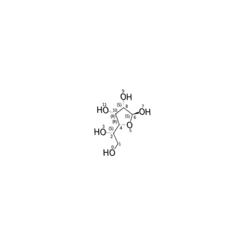 OC[C@H](O)[C@H]1O[C@H](O)[C@@H](O)[C@H]1O